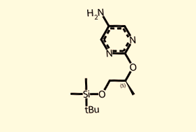 C[C@@H](CO[Si](C)(C)C(C)(C)C)Oc1ncc(N)cn1